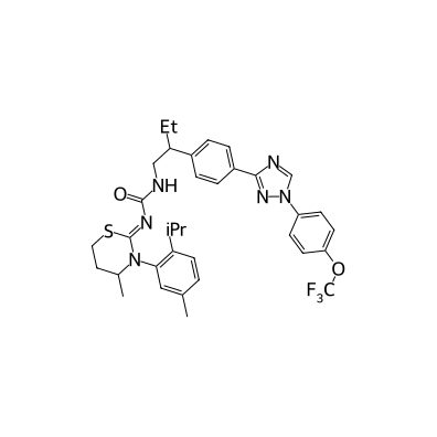 CCC(CNC(=O)/N=C1\SCCC(C)N1c1cc(C)ccc1C(C)C)c1ccc(-c2ncn(-c3ccc(OC(F)(F)F)cc3)n2)cc1